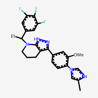 CCC(c1cc(F)c(F)c(F)c1)N1CCCc2c(-c3ccc(-n4cnc(C)c4)c(OC)c3)n[nH]c21